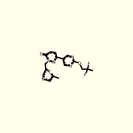 Cc1cncc(Cn2nc(-c3cnc(OCC(C)(F)F)nc3)ccc2=O)c1